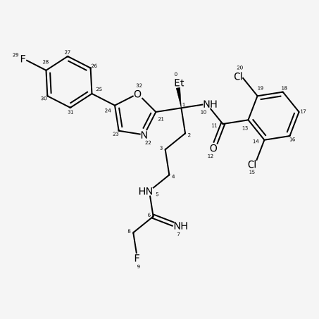 CC[C@](CCCNC(=N)CF)(NC(=O)c1c(Cl)cccc1Cl)c1ncc(-c2ccc(F)cc2)o1